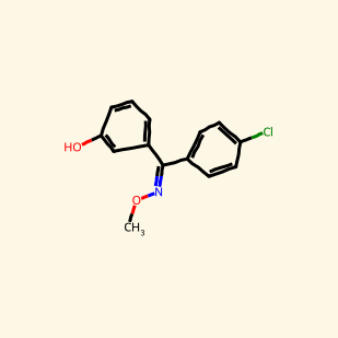 CON=C(c1ccc(Cl)cc1)c1cccc(O)c1